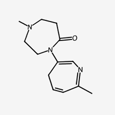 CC1=NC=C(N2CCN(C)CCC2=O)CC=C1